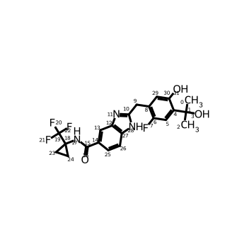 CC(C)(O)c1cc(F)c(Cc2nc3cc(C(=O)NC4(C(F)(F)F)CC4)ccc3[nH]2)cc1O